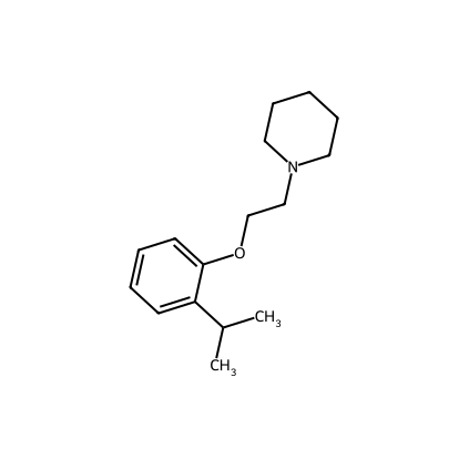 CC(C)c1ccccc1OCCN1CCCCC1